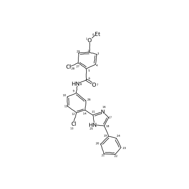 CCOc1ccc(C(=O)Nc2ccc(Cl)c(-c3ncc(-c4ccccc4)[nH]3)c2)c(Cl)c1